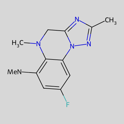 CNc1cc(F)cc2c1N(C)Cc1nc(C)nn1-2